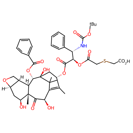 CC1=C2[C@@H](O)C(=O)[C@@]3(C)[C@@H]([C@@H]4CO[C@@H]4C[C@@H]3O)[C@H](OC(=O)c3ccccc3)[C@](O)(C[C@@H]1OC(=O)[C@H](OC(=O)CSCC(=O)O)[C@@H](NC(=O)OC(C)(C)C)c1ccccc1)C2(C)C